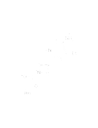 CCc1cc(C2CN(C(=O)OC(C)(C)C)C2)ncc1N